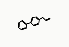 C=CCc1ccc(-c2ccccc2)cc1